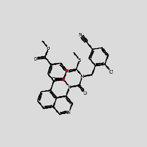 COC(=O)c1cccc(-c2cccc3cncc(-n4c(=O)nc(SC)n(Cc5cc(C#N)ccc5Cl)c4=O)c23)c1